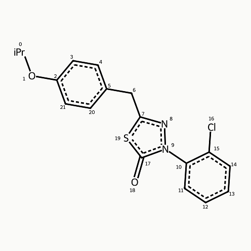 CC(C)Oc1ccc(Cc2nn(-c3ccccc3Cl)c(=O)s2)cc1